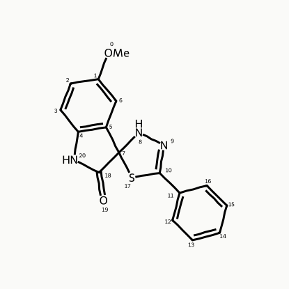 COc1ccc2c(c1)C1(NN=C(c3ccccc3)S1)C(=O)N2